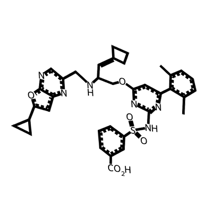 Cc1cccc(C)c1-c1cc(OCC(C=C2CCC2)NCc2cnc3oc(C4CC4)cc3n2)nc(NS(=O)(=O)c2cccc(C(=O)O)c2)n1